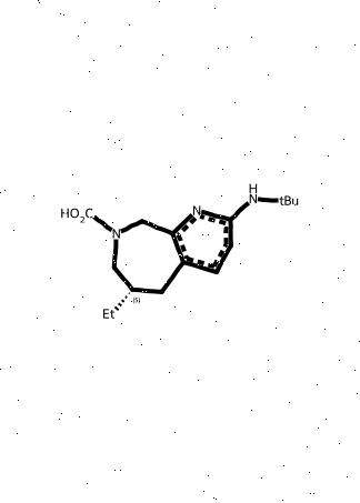 CC[C@H]1Cc2ccc(NC(C)(C)C)nc2CN(C(=O)O)C1